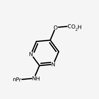 CCCNc1ncc(OC(=O)O)cn1